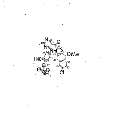 COCc1sc(C(=O)c2cncnc2N[C@@H]2C[C@H](COS(N)(=O)=O)[C@@H](O)C2)cc1Cc1cccc(Cl)c1